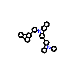 c1ccc(-n2c3ccccc3c3cc(-c4ccc5c(c4)c4cc6ccccc6cc4n5-c4cccc(-c5cc6c7c(cccc7c5)-c5ccccc5-6)c4)ccc32)cc1